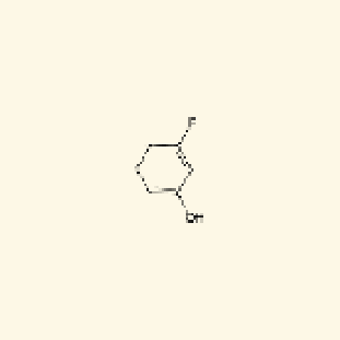 OC1=CC[CH]C(F)=C1